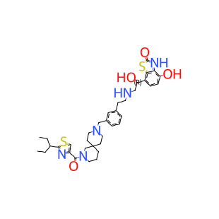 CCC(CC)c1nc(C(=O)N2CCCC3(CCN(Cc4cccc(CCNC[C@H](O)c5ccc(O)c6[nH]c(=O)sc56)c4)CC3)C2)cs1